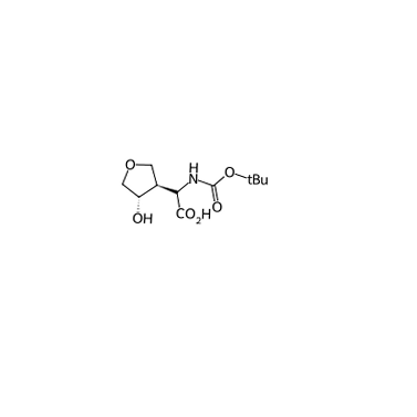 CC(C)(C)OC(=O)NC(C(=O)O)[C@@H]1COC[C@H]1O